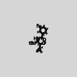 CC(C)(C)N(NC(=O)c1cccc(F)c1)C(=O)C1CC1